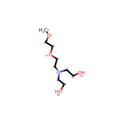 COCCOCCN(CCO)CCO